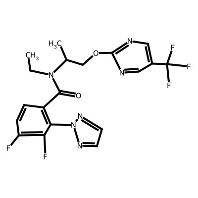 CCN(C(=O)c1ccc(F)c(F)c1-n1nccn1)C(C)COc1ncc(C(F)(F)F)cn1